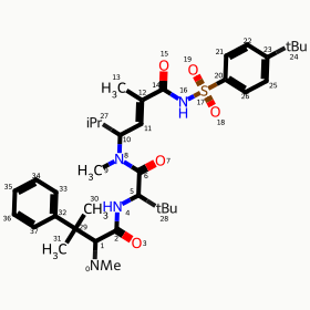 CNC(C(=O)NC(C(=O)N(C)C(C=C(C)C(=O)NS(=O)(=O)c1ccc(C(C)(C)C)cc1)C(C)C)C(C)(C)C)C(C)(C)c1ccccc1